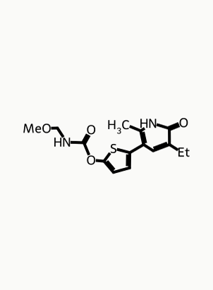 CCc1cc(-c2ccc(OC(=O)NCOC)s2)c(C)[nH]c1=O